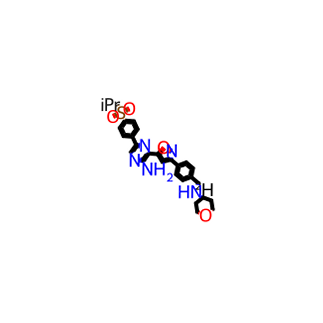 [2H]C1(NCc2ccc(-c3cc(-c4nc(-c5ccc(S(=O)(=O)C(C)C)cc5)cnc4N)on3)cc2)CCOCC1